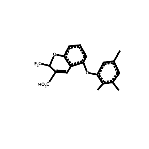 Cc1cc(C)c(C)c(Oc2cccc3c2C=C(C(=O)O)C(C(F)(F)F)O3)c1